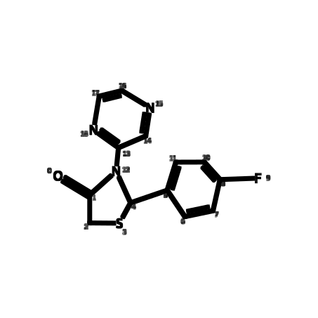 O=C1CSC(c2ccc(F)cc2)N1c1cnccn1